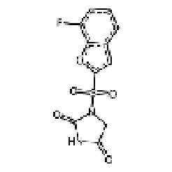 O=C1CN(S(=O)(=O)c2cc3cccc(F)c3o2)C(=O)N1